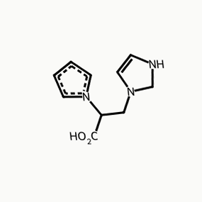 O=C(O)C(CN1C=CNC1)n1cccc1